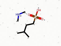 CC(C)CCS(=O)(=O)O.CNC